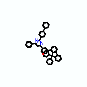 c1ccc(-c2ccc(-c3nc(-c4ccccc4)cc(-c4cccc(-c5cccc6c5C(c5ccccc5)(c5ccccc5)c5ccccc5-6)c4)n3)cc2)cc1